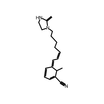 C=C1NCCN1CCCC/C=C\C=C1\C=CC=C(C#N)C1C